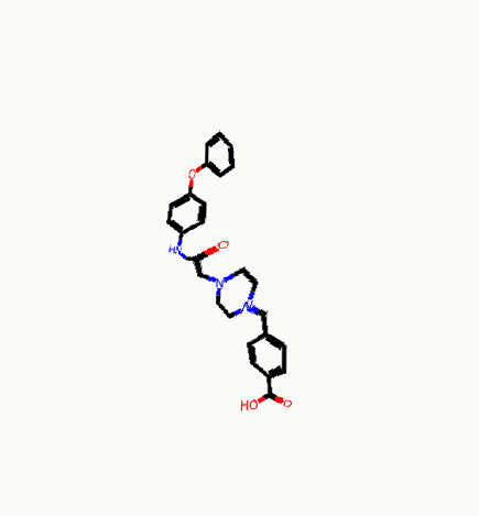 O=C(CN1CCN(Cc2ccc(C(=O)O)cc2)CC1)Nc1ccc(Oc2ccccc2)cc1